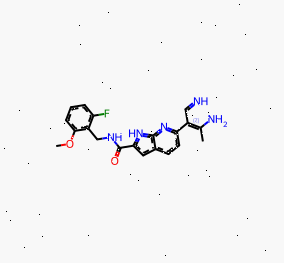 COc1cccc(F)c1CNC(=O)c1cc2ccc(/C(C=N)=C(\C)N)nc2[nH]1